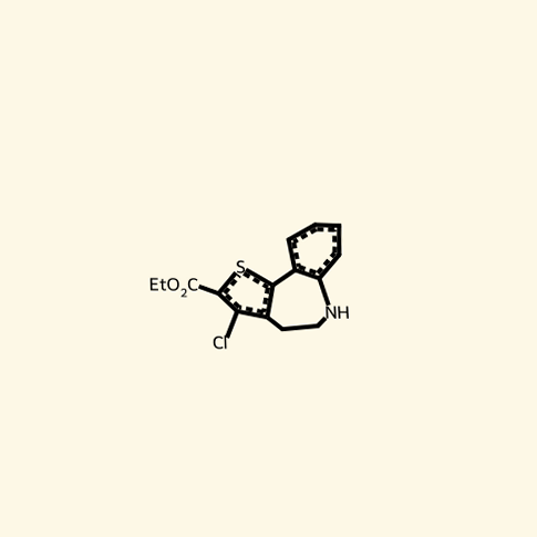 CCOC(=O)c1sc2c(c1Cl)CCNc1ccccc1-2